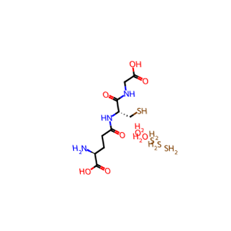 N[C@@H](CCC(=O)N[C@@H](CS)C(=O)NCC(=O)O)C(=O)O.O.O.S.S.S